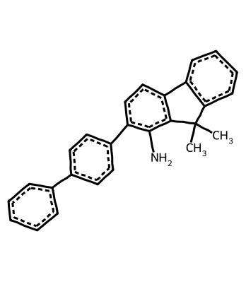 CC1(C)c2ccccc2-c2ccc(-c3ccc(-c4ccccc4)cc3)c(N)c21